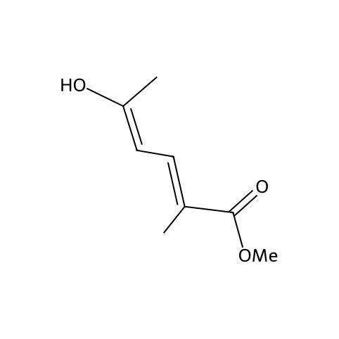 COC(=O)/C(C)=C/C=C(\C)O